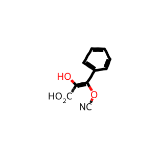 N#COC(=C(O)C(=O)O)c1ccccc1